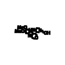 COc1cc2nc3c(c(NC4CCN(CCO)CC4)c2cc1OC)CCOCC3